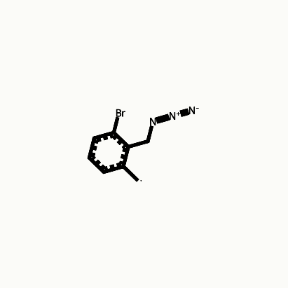 [CH2]c1cccc(Br)c1CN=[N+]=[N-]